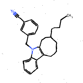 CCCCC1CCCc2c(n(Cc3cccc(C#N)c3)c3ccccc23)C1